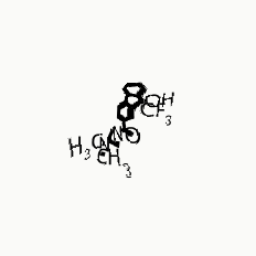 CN(C)C1CN(C(=O)c2ccc3c(c2)C(O)(C(F)(F)F)c2ccccc2-3)C1